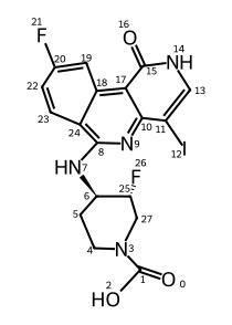 O=C(O)N1CC[C@@H](Nc2nc3c(I)c[nH]c(=O)c3c3cc(F)ccc23)[C@H](F)C1